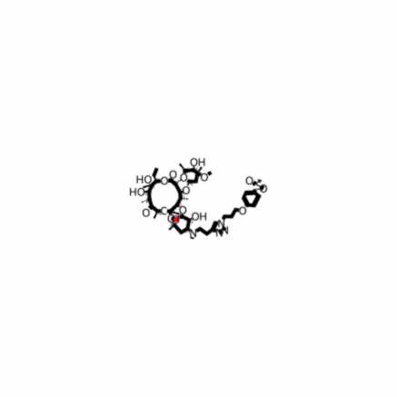 CC[C@H]1OC(=O)[C@H](C)[C@@H](O[C@H]2C[C@@](C)(OC)[C@@H](O)[C@H](C)O2)[C@H](C)[C@@H](O[C@@H]2O[C@H](C)C[C@H](N(C)CCc3cn(CCCOc4ccc(S(C)(=O)=O)cc4)nn3)[C@H]2O)[C@](C)(OC)C[C@@H](C)C(=O)[C@H](C)[C@@H](O)[C@]1(C)O